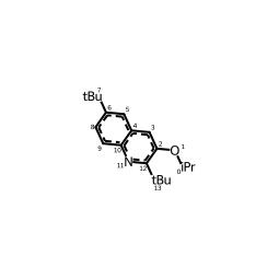 CC(C)Oc1cc2cc(C(C)(C)C)ccc2nc1C(C)(C)C